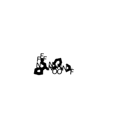 O=C([C@@H]1CCCc2nn(Cc3cc(C(F)(F)F)nc4ccccc34)c(=O)n21)N1CC[C@H](F)C1